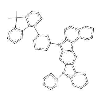 CC1(C)c2ccccc2-c2c(-c3cccc(-n4c5cc6c(cc5c5c7ccccc7ccc54)c4ccccc4n6-c4ccccc4)c3)cccc21